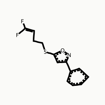 FC(F)=CCCSc1cc(-c2ccccc2)no1